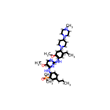 CCCc1ccc(Nc2nc(Nc3cc(CC)c(N4CCC(N5CCN(C)CC5)CC4)cc3OC)ncc2OC)c(P(C)(C)=O)c1